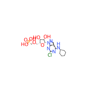 O=P(O)(O)COC[C@H]1O[C@@H](n2ncc3c(NC4CCCCC4)nc(Cl)nc32)[C@H](O)[C@@H]1O